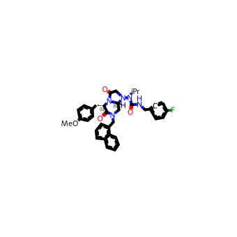 COc1ccc(C[C@H]2C(=O)N(Cc3cccc4ccccc34)C[C@H]3N2C(=O)CN3N(C(=O)NCc2ccc(F)cc2)C(C)C)cc1